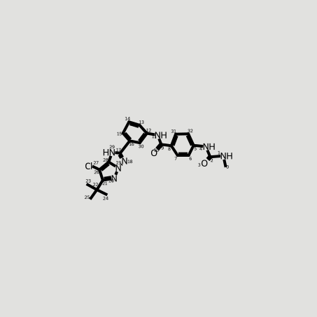 CNC(=O)Nc1ccc(C(=O)Nc2cccc(-c3nn4nc(C(C)(C)C)c(Cl)c4[nH]3)c2)cc1